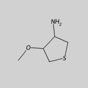 COC1CSCC1N